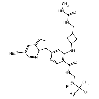 CNC(=O)NCC1CC(Nc2cc(-c3ccc4cc(C#N)cnn34)ncc2C(=O)NC[C@@H](F)C(C)(C)O)C1